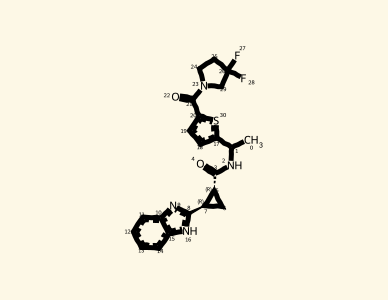 CC(NC(=O)[C@@H]1C[C@H]1c1nc2ccccc2[nH]1)c1ccc(C(=O)N2CCC(F)(F)C2)s1